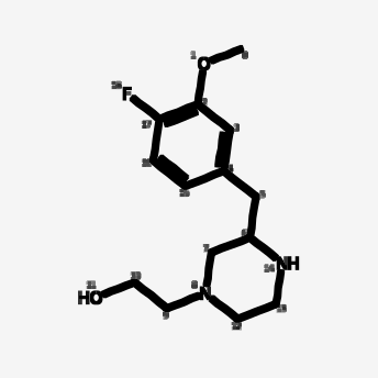 COc1cc(CC2CN(CCO)CCN2)ccc1F